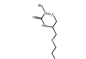 CC(C)CCOCC(CC(=O)O)NC(=O)OC(C)(C)C